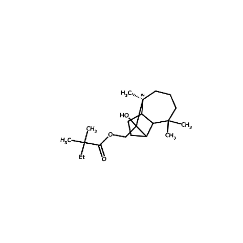 CCC(C)(C)C(=O)OCC1(O)C2CCC3C2C(C)(C)CCC[C@@]31C